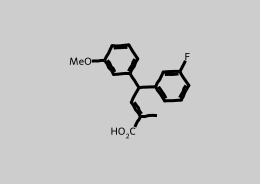 COc1cccc(C(C=C(C)C(=O)O)c2cccc(F)c2)c1